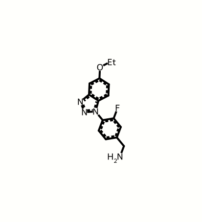 CCOc1ccc2c(c1)nnn2-c1ccc(CN)cc1F